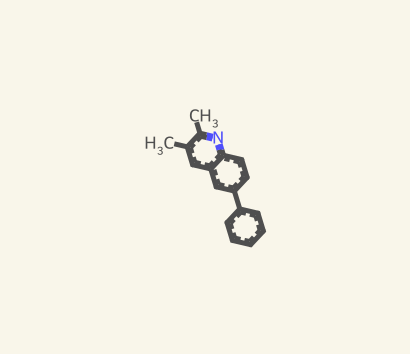 Cc1cc2cc(-c3ccccc3)ccc2nc1C